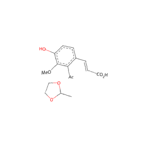 CC1OCCO1.COc1c(O)ccc(C=CC(=O)O)c1C(C)=O